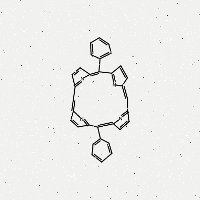 C1=CC2=NC1=CC1=NC(=C(c3ccccc3)C3=NC(=CC4=NC(=C2c2ccccc2)C=C4)C=C3)C=C1